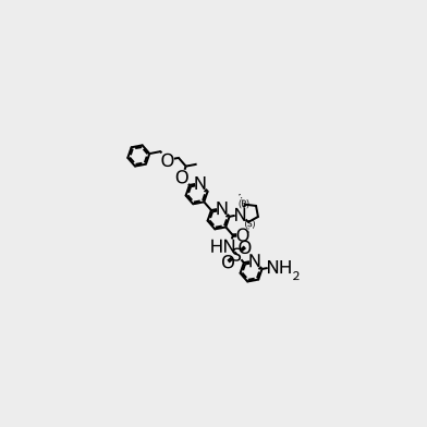 CC(COCc1ccccc1)Oc1ccc(-c2ccc(C(=O)NS(=O)(=O)c3cccc(N)n3)c(N3[C@H](C)CC[C@@H]3C)n2)cn1